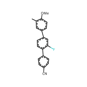 COc1ccc(-c2ccc(-c3ccc(C#N)cc3)c(F)c2)cc1C